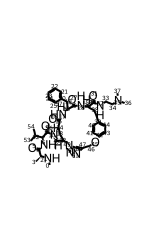 CN[C@@H](C)C(=O)N[C@H](C(=O)N1C[C@@H]2C[C@H]1C(=O)N[C@@H](Cc1ccccc1)C(=O)N[C@H](C(=O)NCCN(C)C)Cc1ccc(cc1)OCc1cn2nn1)C(C)C